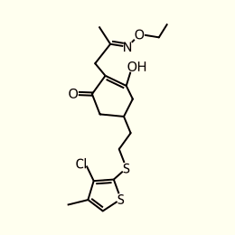 CCON=C(C)CC1=C(O)CC(CCSc2scc(C)c2Cl)CC1=O